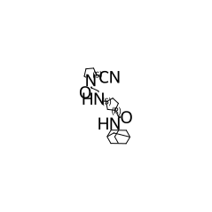 N#C[C@@H]1CCCN1C(=O)CN[C@H]1CC[C@@H](C(=O)NC23CC4CC(CC(C4)C2)C3)C1